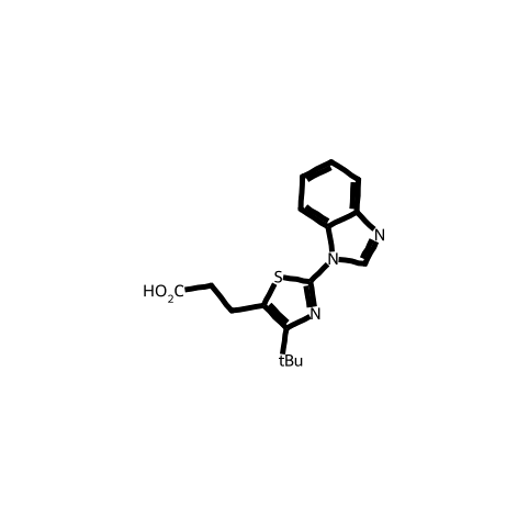 CC(C)(C)c1nc(-n2cnc3ccccc32)sc1CCC(=O)O